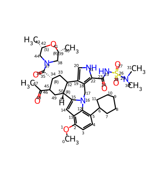 COc1ccc(C2CCCCC2)c2c1cc1n2Cc2c(c[nH]c2C(=O)NS(=O)(=O)N(C)C)C2C[C@@H](C(=O)N3C[C@@H](C)O[C@@H](C)C3)C(C(C)=O)C[C@@H]12